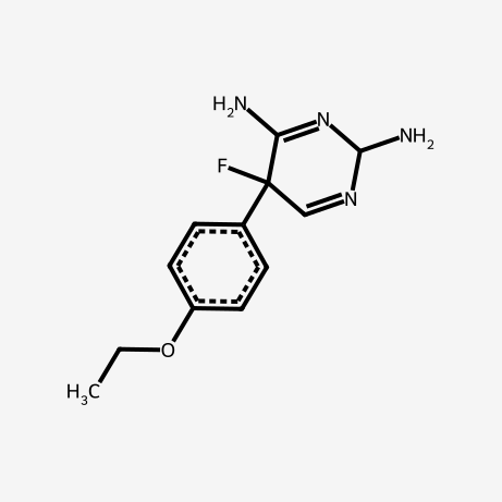 CCOc1ccc(C2(F)C=NC(N)N=C2N)cc1